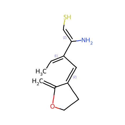 C=C1OCC/C1=C/C(=C\C)C(/N)=C/S